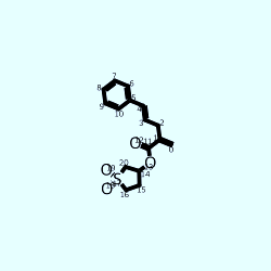 C=C(CC=Cc1ccccc1)C(=O)OC1CCS(=O)(=O)C1